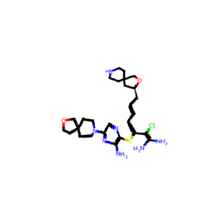 NC(N)=C(Cl)/C(=C\C=C\C[C@H]1CC2(CCNCC2)CO1)Sc1ncc(N2CCC3(CCOC3)CC2)nc1N